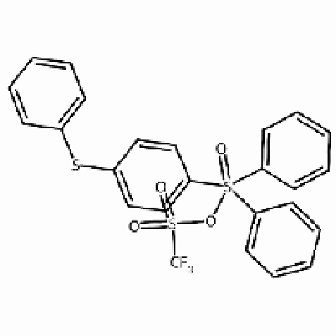 O=S(=O)(OS(=O)(c1ccccc1)(c1ccccc1)c1ccc(Sc2ccccc2)cc1)C(F)(F)F